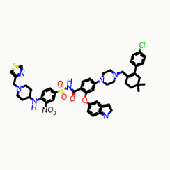 CC1(C)CCC(CN2CCN(c3ccc(C(=O)NS(=O)(=O)c4ccc(NC5CCN(Cc6cscn6)CC5)c([N+](=O)[O-])c4)c(Oc4ccc5c(c4)=CCN=5)c3)CC2)=C(c2ccc(Cl)cc2)C1